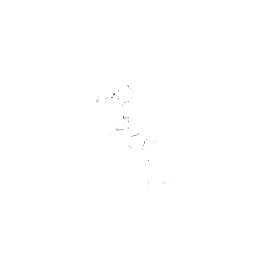 CCCCCCCCCCCCOc1ccc(C(=O)NCc2cccc[n+]2CCC)cc1Cl.[I-]